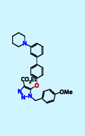 CCOC(=O)c1nnn(Cc2ccc(OC)cc2)c1Oc1ccc(-c2cccc(N3CCCCC3)c2)cc1